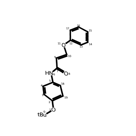 CC(C)(C)Oc1ccc(NC(=O)C=COc2ccccc2)cc1